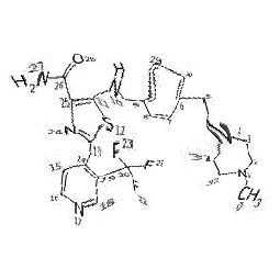 CN1CCN(Cc2ccc(Nc3sc(-c4ccncc4C(F)(F)F)nc3C(N)=O)cc2)CC1